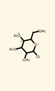 CC(=O)OCC1OC([O])C(OC(C)=O)C(OC(C)=O)C1OC(C)=O